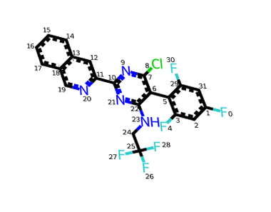 Fc1cc(F)c(-c2c(Cl)nc(-c3cc4ccccc4cn3)nc2NCC(F)(F)F)c(F)c1